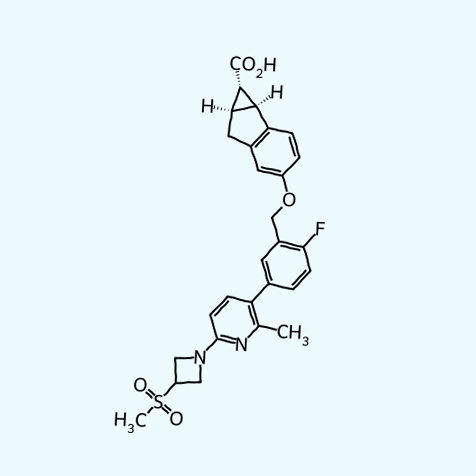 Cc1nc(N2CC(S(C)(=O)=O)C2)ccc1-c1ccc(F)c(COc2ccc3c(c2)C[C@H]2[C@H](C(=O)O)[C@@H]32)c1